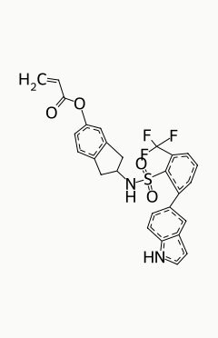 C=CC(=O)Oc1ccc2c(c1)CC(NS(=O)(=O)c1c(-c3ccc4[nH]ccc4c3)cccc1C(F)(F)F)C2